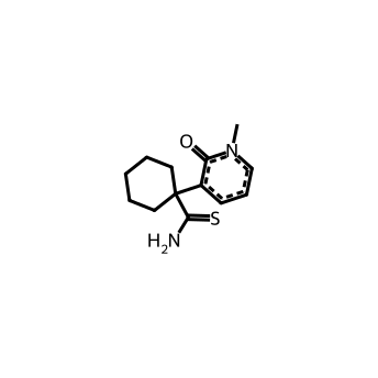 Cn1cccc(C2(C(N)=S)CCCCC2)c1=O